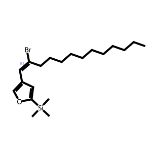 CCCCCCCCCCC/C(Br)=C\c1coc([Si](C)(C)C)c1